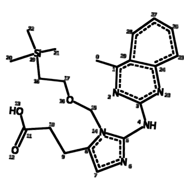 Cc1nc(Nc2ncc(CCC(=O)O)n2COCC[Si](C)(C)C)nc2ccccc12